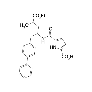 CCOC(=O)C(C)CC(Cc1ccc(-c2ccccc2)cc1)NC(=O)c1ccc(C(=O)O)[nH]1